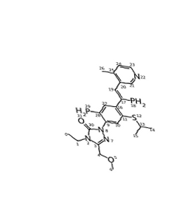 CCn1c(COC)nn(-c2cc(SC(C)C)c(/C(P)=C/c3cnccc3C)cc2P)c1=O